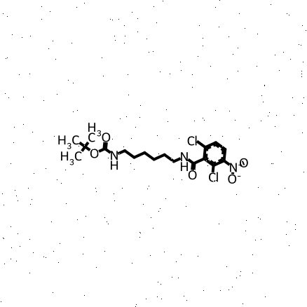 CC(C)(C)OC(=O)NCCCCCCNC(=O)c1c(Cl)ccc([N+](=O)[O-])c1Cl